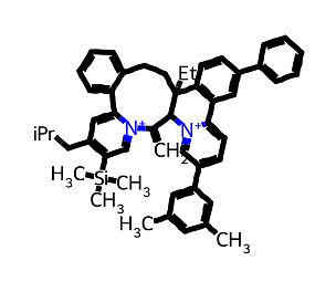 C=C1C2[n+]3cc(-c4cc(C)cc(C)c4)ccc3-c3cc(-c4ccccc4)ccc3C2(CC)CCc2ccccc2-c2cc(CC(C)C)c([Si](C)(C)C)c[n+]21